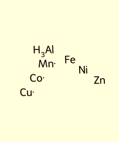 [AlH3].[Co].[Cu].[Fe].[Mn].[Ni].[Zn]